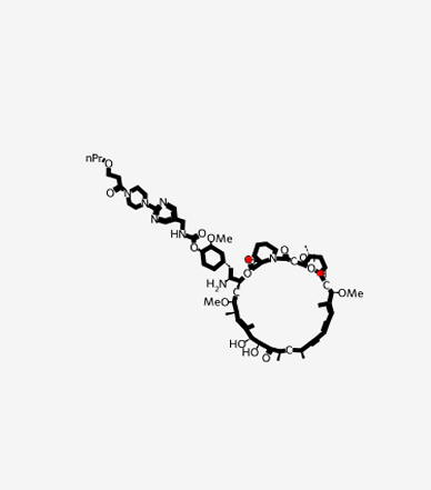 CCCOCCC(=O)N1CCN(c2ncc(CNC(=O)O[C@@H]3CC[C@@H](C[C@@H](N)[C@@H]4C[C@@H](OC)[C@H](C)/C=C(\C)[C@@H](O)[C@@H](O)C(=O)[C@H](C)C[C@H](C)/C=C/C=C/C=C(\C)[C@@H](OC)C[C@@H]5CC[C@@H](C)[C@](O)(CC(=O)N6CCCC[C@H]6C(=O)O4)O5)C[C@H]3OC)cn2)CC1